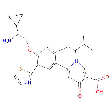 CC(C)C1Cc2cc(OCC(N)C3CC3)c(-c3nccs3)cc2-c2cc(=O)c(C(=O)O)cn21